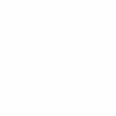 CC1=C(Cc2ccccc2)c2ccccc2[CH]1[Zr+2]([c]1cccc2c1Cc1ccccc1-2)[SiH](C)C.[Cl-].[Cl-]